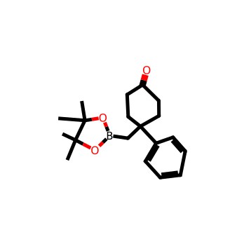 CC1(C)OB(CC2(c3ccccc3)CCC(=O)CC2)OC1(C)C